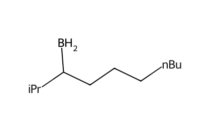 BC(CCCCCCC)C(C)C